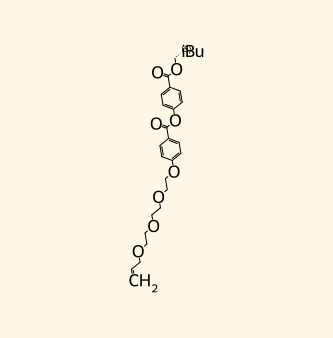 C=CCOCCOCCOCCOc1ccc(C(=O)Oc2ccc(C(=O)OC[C@@H](C)CC)cc2)cc1